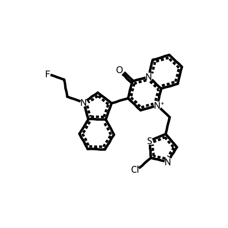 O=c1c(-c2cn(CCF)c3ccccc23)c[n+](Cc2cnc(Cl)s2)c2ccccn12